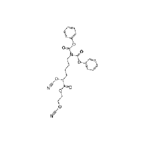 N#COCCOC(=O)C(CCCCN(C(=O)Oc1ccccc1)C(=O)Oc1ccccc1)OC#N